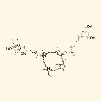 CCC1=C(C)c2cc3[nH]c(cc4nc(c(C)c5cc(C)c(cc1n2)[nH]5)[C@@H](CCC(=O)SCCCS[C@H]1C[C@@H](O)C[C@@H](CO)O1)[C@@H]4C)c(C)c3C(C)OCCCSC1O[C@H](CO)[C@@H](O)[C@H](O)[C@H]1O